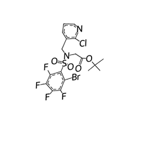 CC(C)(C)OC(=O)CN(Cc1cccnc1Cl)S(=O)(=O)c1c(F)c(F)c(F)c(F)c1Br